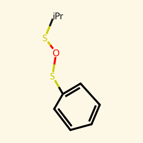 CC(C)SOSc1ccccc1